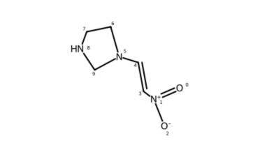 O=[N+]([O-])C=CN1CCNC1